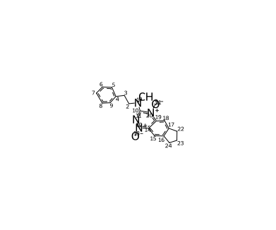 CN(CCc1ccccc1)c1n[n+]([O-])c2cc3c(cc2[n+]1[O-])CCC3